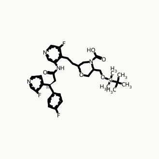 CC(C)(C)[Si](C)(C)OCC1COC(CCc2c(F)cncc2NC(=O)C[C@@H](c2ccc(F)cc2)c2ccncc2F)CN1C(=O)O